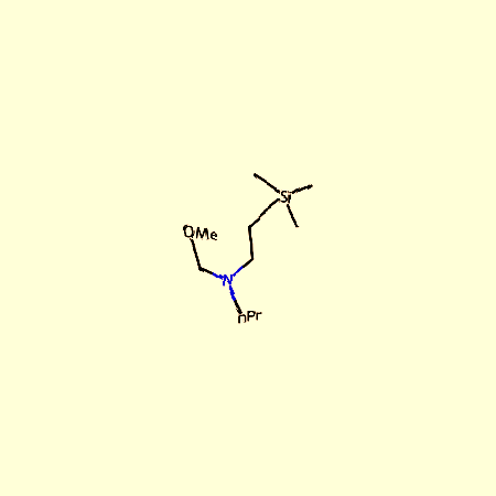 CCCN(CC[Si](C)(C)C)COC